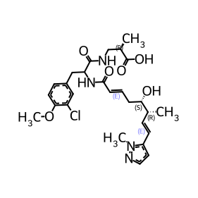 COc1ccc(CC(NC(=O)/C=C/C[C@H](O)[C@H](C)/C=C/c2ccnn2C)C(=O)NC[C@@H](C)C(=O)O)cc1Cl